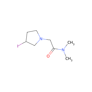 CN(C)C(=O)CN1CCC(I)C1